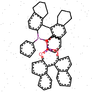 c1ccc(P(c2ccccc2)c2ccc3c(c2-c2c(Op4oc5ccc6ccccc6c5c5c(ccc6ccccc65)o4)ccc4c2CCCC4)CCCC3)cc1